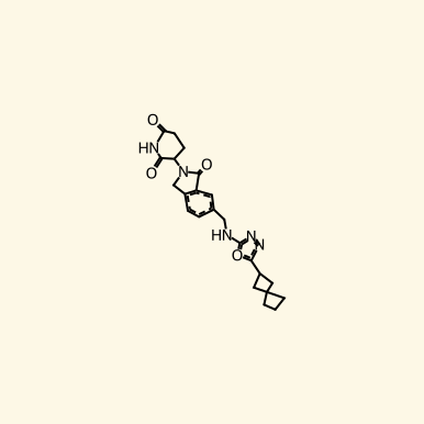 O=C1CCC(N2Cc3ccc(CNc4nnc(C5CC6(CCC6)C5)o4)cc3C2=O)C(=O)N1